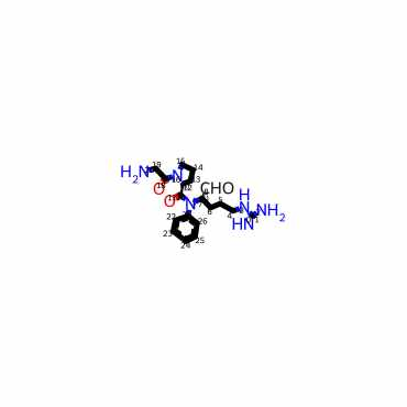 N=C(N)NCCC[C@@H](C=O)N(C(=O)[C@@H]1CCCN1C(=O)CN)c1ccccc1